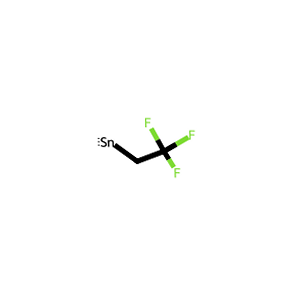 FC(F)(F)[CH2][Sn]